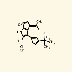 CC(C)=C1C=Cc2[nH]c(C)c(C3=CC(C(C)(C)C)=CC3)c21.[Cl-].[Cl-].[Zr+2]